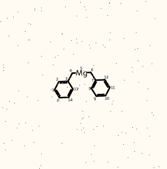 c1ccc([CH2][Mg][CH2]c2ccccc2)cc1